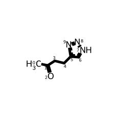 CC(=O)CCc1c[nH]nn1